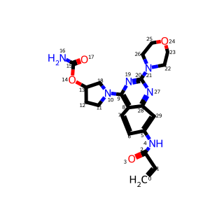 C=CC(=O)Nc1ccc2c(N3CCC(OC(N)=O)C3)nc(N3CCOCC3)nc2c1